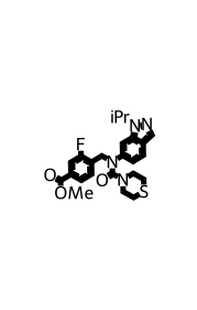 COC(=O)c1ccc(CN(C(=O)N2CCSCC2)c2ccc3cnn(C(C)C)c3c2)c(F)c1